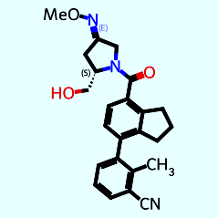 CO/N=C1\C[C@@H](CO)N(C(=O)c2ccc(-c3cccc(C#N)c3C)c3c2CCC3)C1